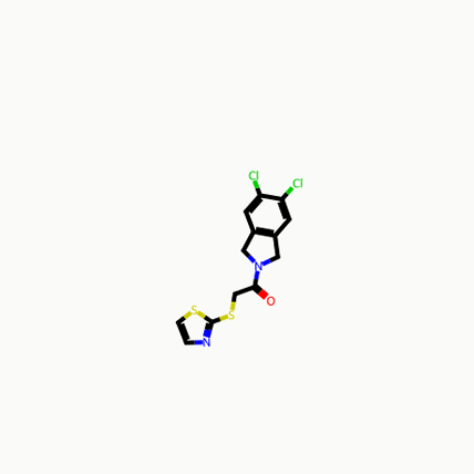 O=C(CSc1nccs1)N1Cc2cc(Cl)c(Cl)cc2C1